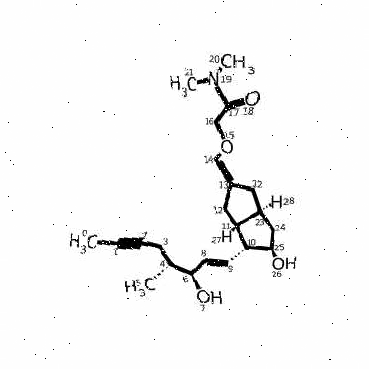 CC#CC[C@@H](C)[C@H](O)C=C[C@@H]1[C@H]2CC(=COCC(=O)N(C)C)C[C@H]2C[C@H]1O